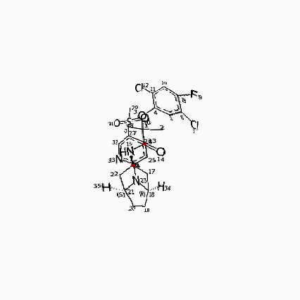 CC(C)(Oc1cc(Cl)c(F)cc1Cl)C(=O)N[C@H]1C[C@H]2CC[C@@H](C1)N2c1ccc(S(C)(=O)=O)cn1